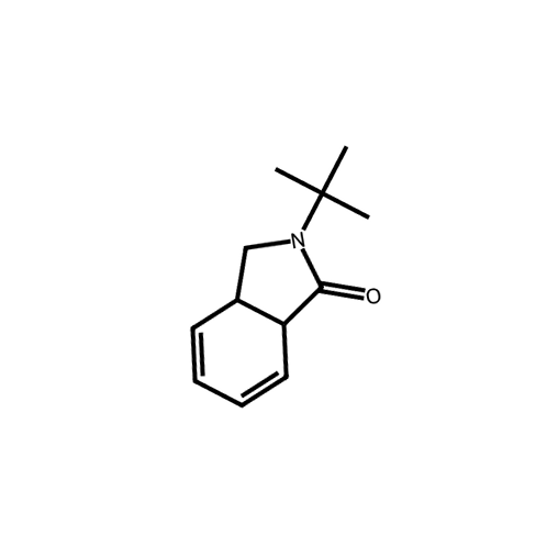 CC(C)(C)N1CC2C=CC=CC2C1=O